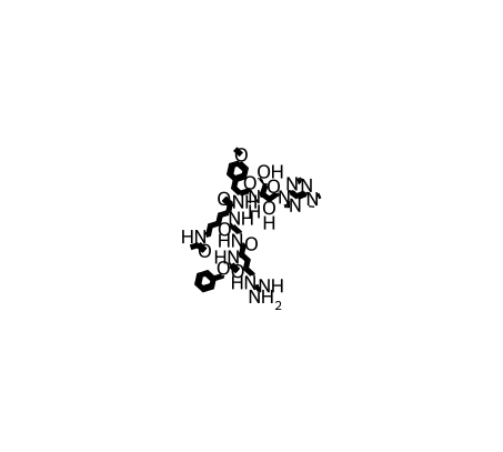 COc1ccc(CC(NC(=O)C(CCCCNC(C)=O)NC(=O)CNC(=O)C(CCCNC(=N)N)NC(=O)OCc2ccccc2)C(=O)NC2[C@@H](CO)O[C@@H](n3cnc4c(N(C)C)ncnc43)[C@H]2O)cc1